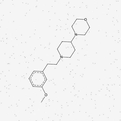 COc1cccc(CCN2CCC(N3CCOCC3)CC2)c1